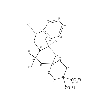 CCOC(=O)C1(C(=O)OCC)COC2(CC(C)(C)N(OC(C)c3ccccc3)C(C)(C)C2)OC1